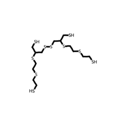 SCCSCCSC(CS)CSSCC(CS)SCCSCCS